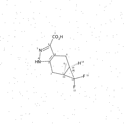 C[C@]12Cc3[nH]nc(C(=O)O)c3C[C@H]1C2(F)F